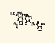 CCOC(=O)C1=C(C)NC(C)=C(C(=O)OCCNC(=O)c2ccccc2O)C1c1ccc([N+](=O)[O-])s1